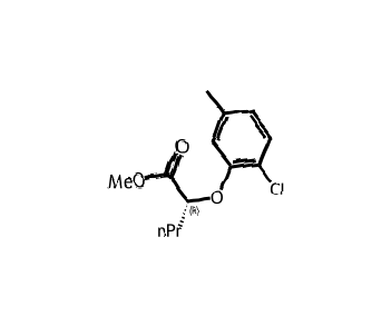 CCC[C@@H](Oc1cc(C)ccc1Cl)C(=O)OC